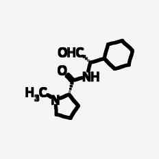 CN1CCC[C@H]1C(=O)N[C@H](C=O)C1CCCCC1